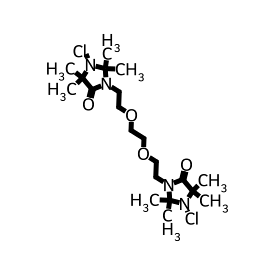 CC1(C)C(=O)N(CCOCCOCCN2C(=O)C(C)(C)N(Cl)C2(C)C)C(C)(C)N1Cl